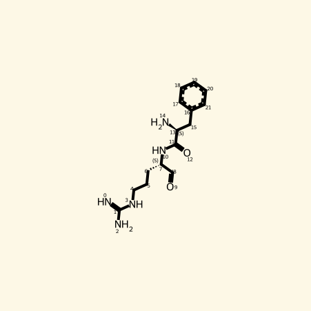 N=C(N)NCCC[C@@H]([C]=O)NC(=O)[C@@H](N)Cc1ccccc1